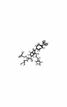 CC(C)CCN(CCC(C)C)C(=O)c1ccc2nc(-c3ccc([N+](=O)[O-])cc3)n(CCCN3CCCC3)c2c1